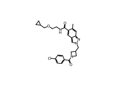 Cc1cc2nn(CC3CN(C(=O)c4ccc(Cl)cc4)C3)cc2cc1C(=O)NCCOCC1CC1